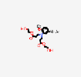 CCOc1ccc(NC(C)=O)cc1N(CCC(=O)OCCO)CCC(=O)OCCO